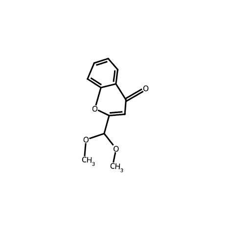 COC(OC)c1cc(=O)c2ccccc2o1